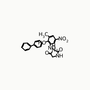 Cc1cc([N+](=O)[O-])cc([N+](=O)[O-])c1O.O=C1CNC(=O)N1.c1ccc(-c2ccccc2)cc1